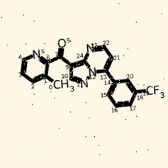 Cc1cccnc1C(=O)c1cnn2c(-c3cccc(C(F)(F)F)c3)ccnc12